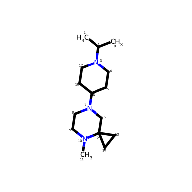 CC(C)N1CCC(N2CCN(C)C3(CC3)C2)CC1